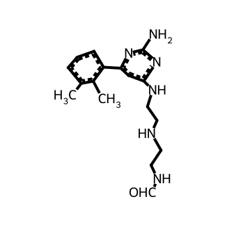 Cc1cccc(-c2cc(NCCNCCNC=O)nc(N)n2)c1C